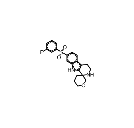 O=S(=O)(c1cccc(F)c1)c1ccc2c3c([nH]c2c1)C1(CCCOC1)NCC3